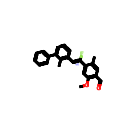 COc1cc(/C(F)=C/c2cccc(-c3ccccc3)c2C)c(C)cc1C=O